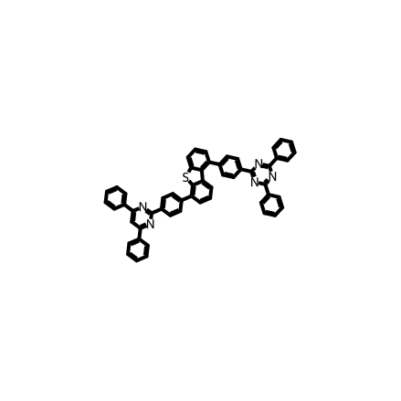 c1ccc(-c2cc(-c3ccccc3)nc(-c3ccc(-c4cccc5c4sc4cccc(-c6ccc(-c7nc(-c8ccccc8)nc(-c8ccccc8)n7)cc6)c45)cc3)n2)cc1